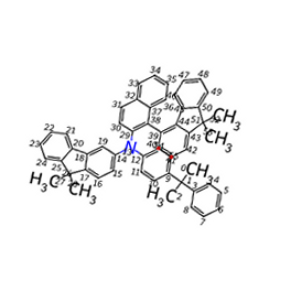 CC(C)(c1ccccc1)c1ccc(N(c2ccc3c(c2)-c2ccccc2C3(C)C)c2ccc3ccccc3c2-c2cccc3c2-c2ccccc2C3(C)C)cc1